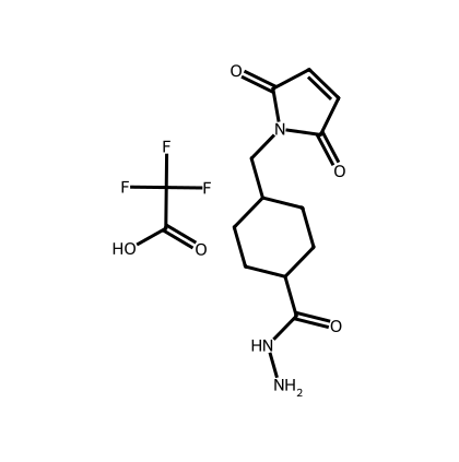 NNC(=O)C1CCC(CN2C(=O)C=CC2=O)CC1.O=C(O)C(F)(F)F